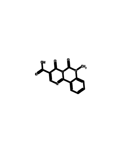 Cn1c(=O)n2c(=O)c(C(=O)O)cnc2c2ccccc21